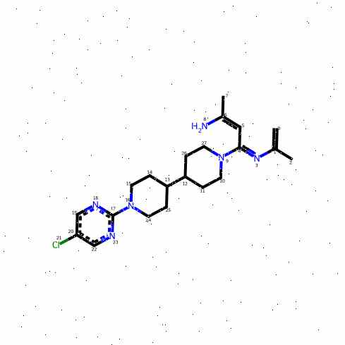 C=C(C)/N=C(\C=C(\C)N)N1CCC(C2CCN(c3ncc(Cl)cn3)CC2)CC1